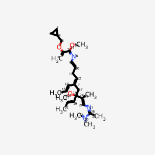 C=C(OCC1CC1)/C(=N\C=C\C/C=C(\C=C\C)CC(/C=C/C)(OC)/C(C)=C/N=C(/C)N(C)C)OC